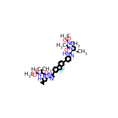 CC[C@H]1CC(C)N(C(=O)[C@H](C)NC(=O)OC)[C@@H]1c1nc2ccc(-c3ccc4c(c3)C(F)(F)c3cc(-c5cnc([C@@H]6CC7(CC7)CN6C(=O)[C@@H](NC(=O)OC)C(C)C)[nH]5)ccc3-4)cc2[nH]1